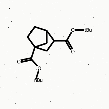 CCCCOC(=O)C12CCC(C1)C(C(=O)OC(C)(C)C)C2